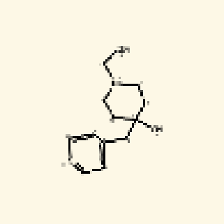 CC(C)(C)CN1CCC(C#N)(Cc2ccncc2)CC1